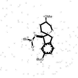 CO[C@H]1CC[C@]2(CC1)Cc1ccc(OCC(C)C)cc1C2=N[S+]([O-])C(C)(C)C